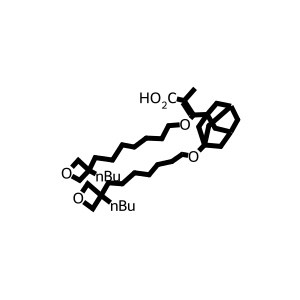 CCCCC1(CCCCCCCOC(=C(C)C(=O)O)C23CC4CC(CC(OCCCCCCCC5(CCCC)COC5)(C4)C2)C3)COC1